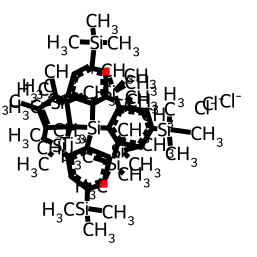 CC1=C(C)[C]([Ti+3])([Si](c2c([Si](C)(C)C)cc([Si](C)(C)C)cc2[Si](C)(C)C)(c2c([Si](C)(C)C)cc([Si](C)(C)C)cc2[Si](C)(C)C)c2c([Si](C)(C)C)cc([Si](C)(C)C)cc2[Si](C)(C)C)C(C)=C1C.[Cl-].[Cl-].[Cl-]